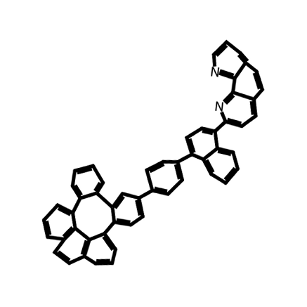 c1cnc2c(c1)ccc1ccc(-c3ccc(-c4ccc(-c5ccc6c(c5)c5ccccc5c5cccc7ccc8cccc6c8c75)cc4)c4ccccc34)nc12